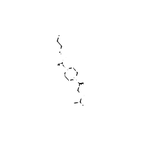 CCCCOC(=O)N1CCN(C(=O)COC(C)C)CC1